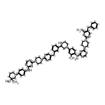 Cc1cc(N2CCNC(c3cccc(Cc4cnc(N5CCN(c6ncnc(Nc7ccc(N8CCC[C@@](C)(O)C8)cc7)n6)CC5)nc4)c3)C2)ccc1Nc1ncnc(N2CCN(c3ncc(Cc4ccccc4)c(N)n3)CC2)n1